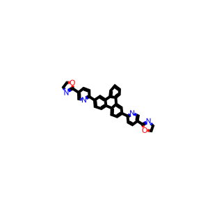 c1ccc2c(c1)c1cc(-c3ccc(C4=NCCO4)cn3)ccc1c1ccc(-c3ccc(C4=NCCO4)cn3)cc21